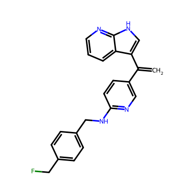 C=C(c1ccc(NCc2ccc(CF)cc2)nc1)c1c[nH]c2ncccc12